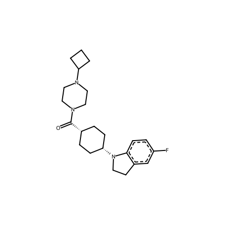 O=C([C@H]1CC[C@@H](N2CCc3cc(F)ccc32)CC1)N1CCN(C2CCC2)CC1